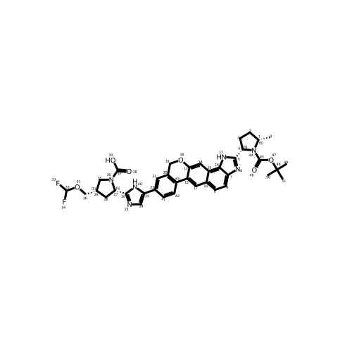 C[C@H]1CC[C@@H](c2nc3ccc4cc5c(cc4c3[nH]2)OCc2cc(-c3cnc([C@@H]4C[C@H](COC(F)F)CN4C(=O)O)[nH]3)ccc2-5)N1C(=O)OC(C)(C)C